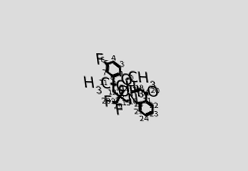 COc1ccc(F)cc1C(C)(C)CC(O)(Cn1ccc(=O)c2ccccc21)C(F)F